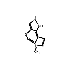 Cn1ncc2c1=CSC1=CNNC=21